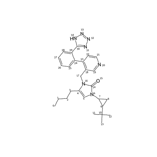 CCCCc1cn(C2CC2C(C)(C)C)c(=O)n1Cc1cnccc1-c1ccccc1-c1nnn[nH]1